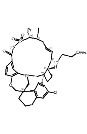 COCCO[C@H]1/C=C/C[C@H](C)[C@@H](C(C)C)S(=O)(=O)NC(=O)c2ccc3c(c2)N(C[C@@H]2CC[C@H]21)C[C@@]1(CCCc2cc(Cl)ccc21)CO3